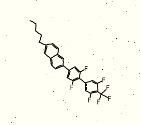 CCCCCc1ccc2cc(-c3cc(F)c(-c4cc(F)c(C(F)(F)F)c(F)c4)c(F)c3)ccc2c1